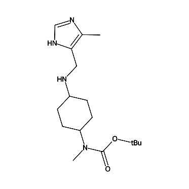 Cc1nc[nH]c1CNC1CCC(N(C)C(=O)OC(C)(C)C)CC1